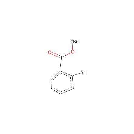 CC(=O)c1ccccc1C(=O)OC(C)(C)C